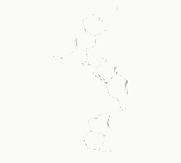 COc1cc2c(cc1Nc1ncc3ccc(Nc4ccc5c(c4)N(C(C)=O)CC5)cc3n1)CN(C)CC2